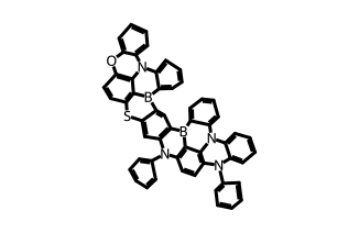 c1ccc(N2c3cc4c(cc3B3c5ccccc5N5c6ccccc6N(c6ccccc6)c6ccc2c3c65)B2c3ccccc3N3c5ccccc5Oc5ccc(c2c53)S4)cc1